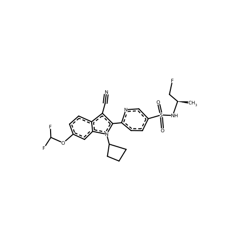 C[C@H](CF)NS(=O)(=O)c1ccc(-c2c(C#N)c3ccc(OC(F)F)cc3n2C2CCC2)nc1